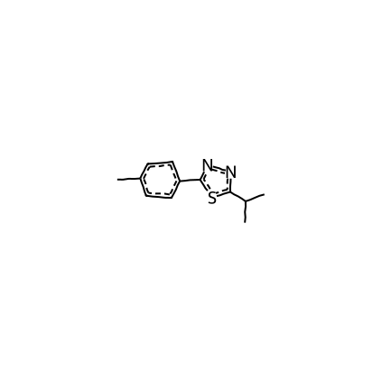 Cc1ccc(-c2nnc(C(C)C)s2)cc1